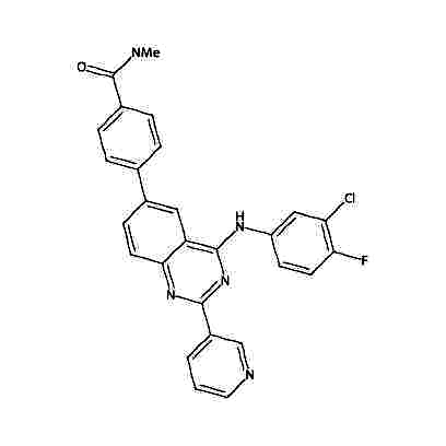 CNC(=O)c1ccc(-c2ccc3nc(-c4cccnc4)nc(Nc4ccc(F)c(Cl)c4)c3c2)cc1